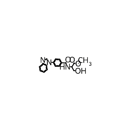 COC(=O)C(CO)NC(=O)c1ccc(-n2cnc3ccccc32)cc1